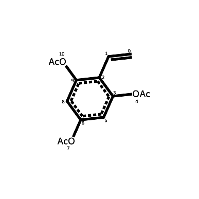 C=Cc1c(OC(C)=O)cc(OC(C)=O)cc1OC(C)=O